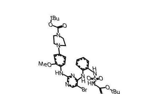 COc1cc(N2CCN(C(=O)OC(C)(C)C)CC2)ccc1Nc1ncc(Br)c(Nc2ccccc2NS(=O)(=O)NC(=O)OC(C)(C)C)n1